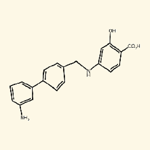 Nc1cccc(-c2ccc(CNc3ccc(C(=O)O)c(O)c3)cc2)c1